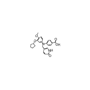 COc1ccc(N(Cc2ccc(=O)[nH]c2)c2ccc(C(=O)O)cc2)cc1OC1CCCC1